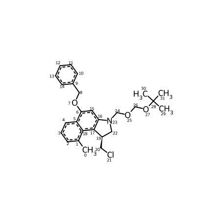 Cc1cccc2c(OCc3ccccc3)cc3c(c12)[C@H](CCl)CN3COCOC(C)(C)C